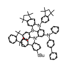 CC(C)(C)c1ccc(N2c3cc4c(cc3B3c5cc6c(cc5N(c5ccc7c(c5)C(C)(C)CC7(C)C)c5cc(N(c7ccccc7)c7ccc(-c8ccccc8)cc7)cc2c53)C(C)(C)CC6(C)C)C(C)(C)c2ccccc2C4(C)C)c(-c2ccccc2)c1